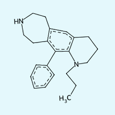 CCCN1CCCc2cc3c(c(-c4ccccc4)c21)CCNCC3